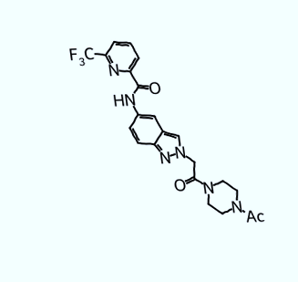 CC(=O)N1CCN(C(=O)Cn2cc3cc(NC(=O)c4cccc(C(F)(F)F)n4)ccc3n2)CC1